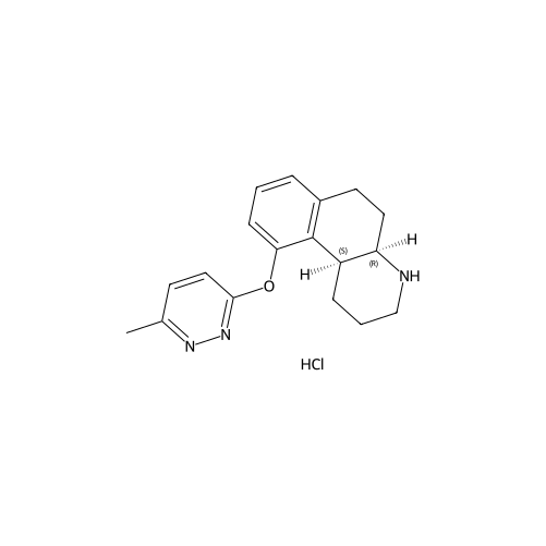 Cc1ccc(Oc2cccc3c2[C@@H]2CCCN[C@@H]2CC3)nn1.Cl